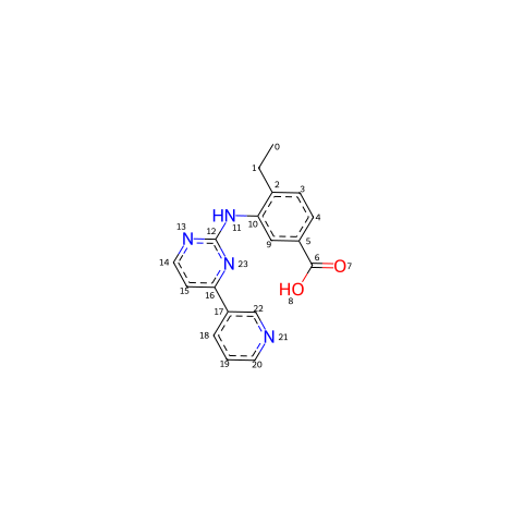 CCc1ccc(C(=O)O)cc1Nc1nccc(-c2cccnc2)n1